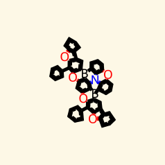 c1ccc(-c2c3c(cc4c2oc2ccccc24)B2c4cccc5c4N4c6c(cccc6B6c7cc8c(oc9ccccc98)c(-c8ccccc8)c7Oc7cc(c2c4c76)O3)O5)cc1